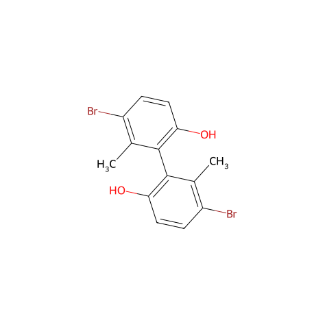 Cc1c(Br)ccc(O)c1-c1c(O)ccc(Br)c1C